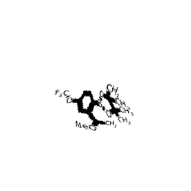 COC(C)c1cc(OC(F)(F)F)ccc1B1OC(C)(C)C(C)(C)O1